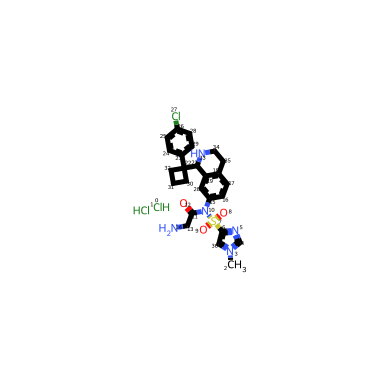 Cl.Cl.Cn1cnc(S(=O)(=O)N(C(=O)CN)c2ccc3c(c2)C(C2(c4ccc(Cl)cc4)CCC2)NCC3)c1